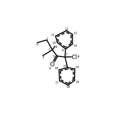 CCC(C)(C)C(=O)C(Cl)(c1ccccc1)c1ccccc1